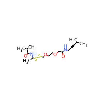 CC(C)C#CCNC(=O)COCCOCSSC(C)NC(=O)C(C)C